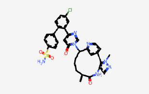 CC1CCCC(n2cnc(-c3cc(Cl)ccc3-c3ccc(S(N)(=O)=O)cc3)cc2=O)c2cc(ccn2)-c2c(cnn2C)NC1=O